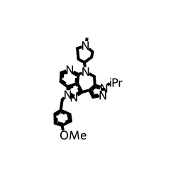 COc1ccc(Cn2nc3c4c(nccc42)N(C2CCN(C)CC2)Cc2c-3cnn2C(C)C)cc1